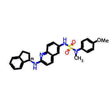 COc1ccc(N(C)S(=O)(=O)Nc2ccc3nc(N[C@@H]4CCc5ccccc54)ccc3c2)cc1